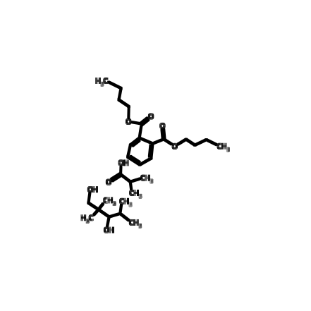 CC(C)C(=O)O.CC(C)C(O)C(C)(C)CO.CCCCOC(=O)c1ccccc1C(=O)OCCCC